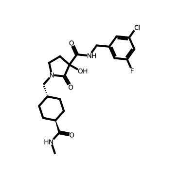 CNC(=O)[C@H]1CC[C@H](CN2CCC(O)(C(=O)NCc3cc(F)cc(Cl)c3)C2=O)CC1